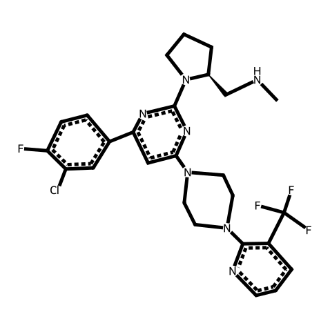 CNC[C@@H]1CCCN1c1nc(-c2ccc(F)c(Cl)c2)cc(N2CCN(c3ncccc3C(F)(F)F)CC2)n1